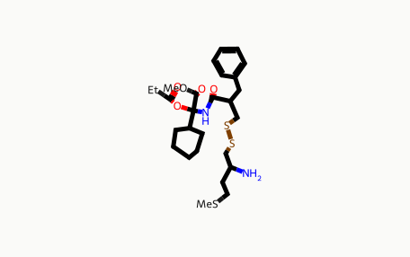 CCC(=O)OC(NC(=O)C(CSSCC(N)CCSC)Cc1ccccc1)(C(=O)OC)C1CCCCC1